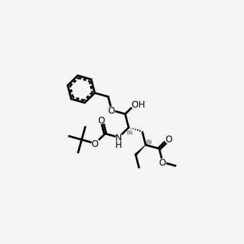 CC[C@@H](C[C@H](NC(=O)OC(C)(C)C)C(O)OCc1ccccc1)C(=O)OC